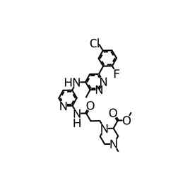 COC(=O)C1CN(C)CCN1CCC(=O)Nc1cc(Nc2cc(-c3cc(Cl)ccc3F)nnc2C)ccn1